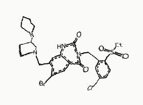 CCS(=O)(=O)c1ccc(Cl)cc1Cn1c(=O)[nH]c2cc(CN3CCC(N4CCCC4)C3)c(Br)cc2c1=O